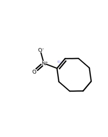 O=[N+]([O-])/C1=C/CCCCCC1